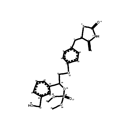 C=C1NC(=O)SC1Cc1ccc(OCC(OP(=O)(OC)OC)c2cccc(CO)c2)cc1